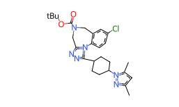 Cc1cc(C)n(C2CCC(c3nnc4n3-c3ccc(Cl)cc3CN(C(=O)OC(C)(C)C)C4)CC2)n1